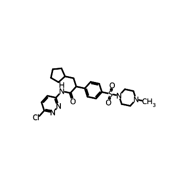 CN1CCN(S(=O)(=O)c2ccc(C(CC3CCCC3)C(=O)Nc3ccc(Cl)nn3)cc2)CC1